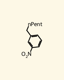 CCCCCCc1cccc([N+](=O)[O-])c1